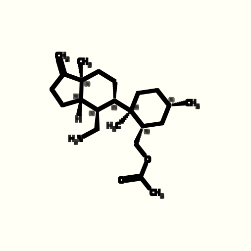 C=C1CC[C@H]2[C@H](CN)[C@@H]([C@@]3(C)CC[C@H](C)C[C@@H]3COC(C)=O)CC[C@]12C